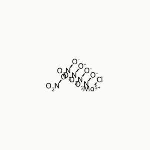 O=[N+]([O-])[O-].O=[N+]([O-])[O-].O=[N+]([O-])[O-].O=[N+]([O-])[O-].O=[N+]([O-])[O-].[Cl][Mo+5]